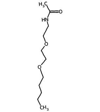 CCCCCOCCOCCNC(C)=O